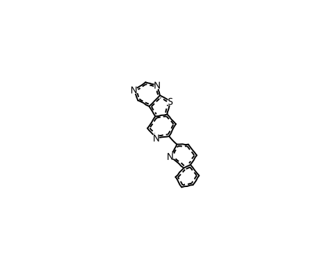 c1ccc2nc(-c3cc4sc5ncncc5c4cn3)ccc2c1